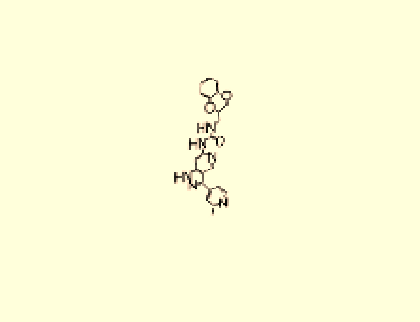 Cc1cc(-c2n[nH]c3cc(NC(=O)NCC4COc5ccccc5O4)ncc23)ccn1